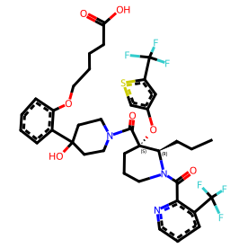 CCC[C@H]1N(C(=O)c2ncccc2C(F)(F)F)CCC[C@@]1(Oc1csc(C(F)(F)F)c1)C(=O)N1CCC(O)(c2ccccc2OCCCCC(=O)O)CC1